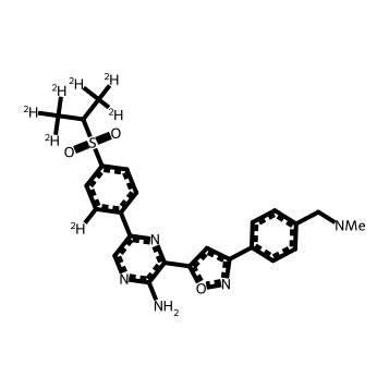 [2H]c1cc(S(=O)(=O)C(C([2H])([2H])[2H])C([2H])([2H])[2H])ccc1-c1cnc(N)c(-c2cc(-c3ccc(CNC)cc3)no2)n1